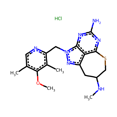 CNC1CSc2nc(N)nc3c2c(nn3Cc2ncc(C)c(OC)c2C)C1.Cl